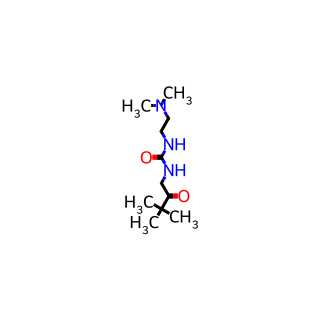 CN(C)CCNC(=O)NCC(=O)C(C)(C)C